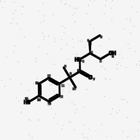 CC[C@@H](CO)NC(=O)C(C)(C)c1ccc(S)cc1